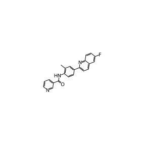 Cc1cc(-c2ccc3cc(F)ccc3n2)ccc1NC(=O)c1cccnc1